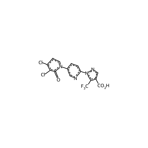 O=C(O)c1cnn(-c2ccc(-n3ccc(Cl)c(Cl)c3=O)cn2)c1C(F)(F)F